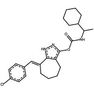 CC(NC(=O)Oc1n[nH]c2c1CCCC/C2=C\c1ccc(Cl)cc1)C1CCCCC1